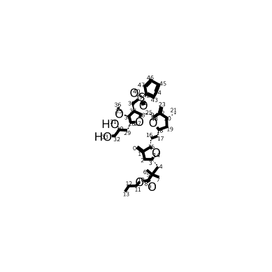 C=C1C[C@@H](CC(C)(C)C(=O)OCCC)O[C@H]1CC[C@H]1C[C@@H](C)C(=C)[C@@H](C[C@@H]2O[C@H](C[C@H](O)CO)[C@H](OC)[C@H]2CS(=O)(=O)c2ccccc2)O1